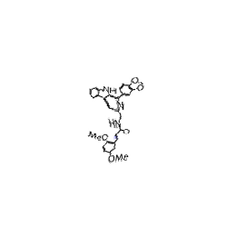 COc1ccc(OC)c(/C=C/C(=O)NCc2cc3c([nH]c4ccccc43)c(-c3ccc4c(c3)OCO4)n2)c1